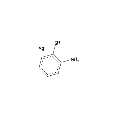 Nc1ccccc1S.[Ag]